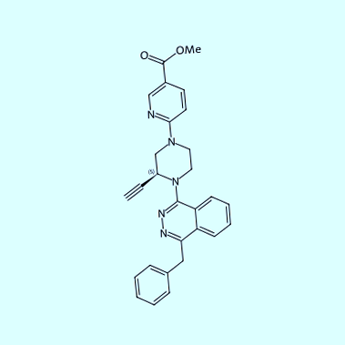 C#C[C@H]1CN(c2ccc(C(=O)OC)cn2)CCN1c1nnc(Cc2ccccc2)c2ccccc12